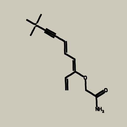 C=C/C(=C\C=C\C#CS(C)(C)C)OCC(N)=O